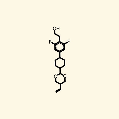 C=CC1COC(C2CCC(c3cc(F)c(CCO)c(F)c3)CC2)OC1